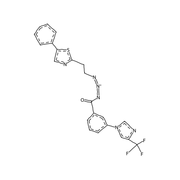 O=C(N=[N+]=NCCc1ncc(-c2ccccc2)s1)c1cccc(-n2cnc(C(F)(F)F)c2)c1